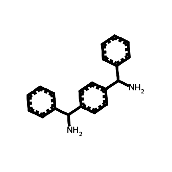 NC(c1ccccc1)c1ccc(C(N)c2ccccc2)cc1